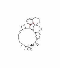 COC1C2CCC2CC=CCC(C)C(C)S(=O)(=O)NC(=O)c2ccc3c(c2)N1CC1(CCCc2ccccc21)CO3